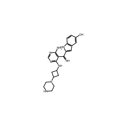 N=C(c1cc2cc(O)ccc2[nH]1)c1c(N)ncnc1NC1CC(N2CCNCC2)C1